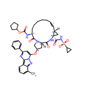 O=C(N[C@H]1CCCCC/C=C\[C@@H]2C[C@@]2(C(=O)NS(=O)(=O)C2CC2)NC(=O)[C@@H]2C[C@@H](Oc3cc(-c4ccccc4)nc4c5cccc(C(F)(F)F)c5nn34)CN2C1=O)OC1CCCC1